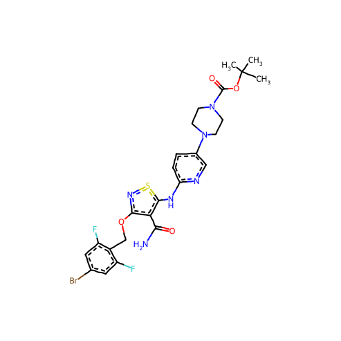 CC(C)(C)OC(=O)N1CCN(c2ccc(Nc3snc(OCc4c(F)cc(Br)cc4F)c3C(N)=O)nc2)CC1